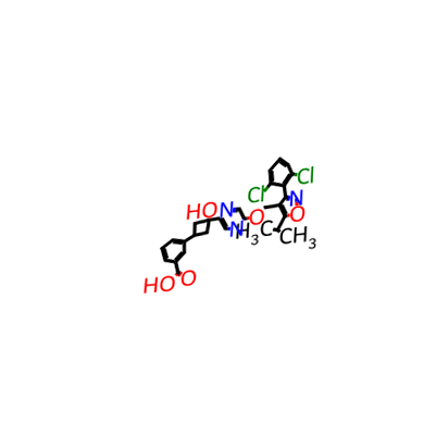 CC(C)c1onc(-c2c(Cl)cccc2Cl)c1COc1cnc(C2(O)CC(c3cccc(C(=O)O)c3)C2)cn1